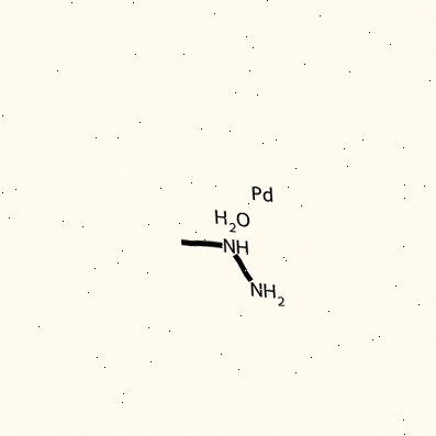 CNN.O.[Pd]